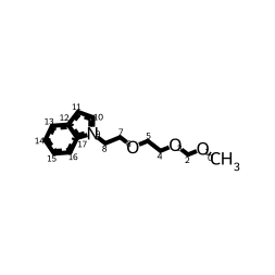 COCOCCOCCn1ccc2ccccc21